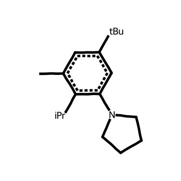 Cc1cc(C(C)(C)C)cc(N2CCCC2)c1C(C)C